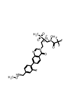 CONCc1ccc(-c2ccc3c(=O)n(CC[C@](C)(CN(O)C(=O)C(F)(F)F)S(C)(=O)=O)cnc3c2)c(F)c1